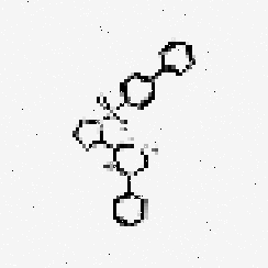 O=C(N[C@@H](CO)c1ccccc1)C1SCCN1S(=O)(=O)c1ccc(-c2ccccc2)cc1